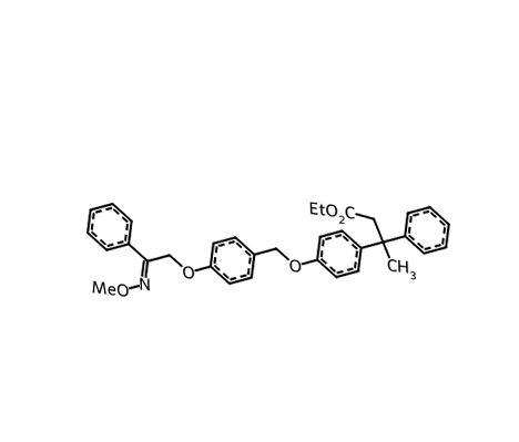 CCOC(=O)CC(C)(c1ccccc1)c1ccc(OCc2ccc(OCC(=NOC)c3ccccc3)cc2)cc1